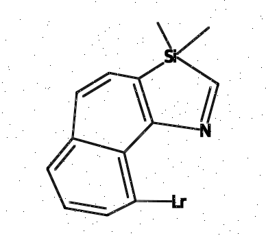 C[Si]1(C)C=Nc2c1ccc1ccc[c]([Lr])c21